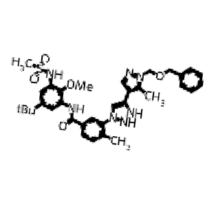 COc1c(NC(=O)c2ccc(C)c(N3C=C(c4cnn(COCc5ccccc5)c4C)NN3)c2)cc(C(C)(C)C)cc1NS(C)(=O)=O